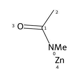 CNC(C)=O.[Zn]